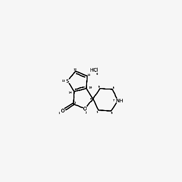 Cl.O=C1OC2(CCNCC2)c2ccsc21